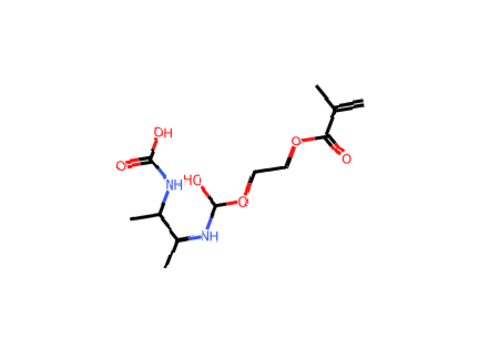 C=C(C)C(=O)OCCOC(O)NC(C)C(C)NC(=O)O